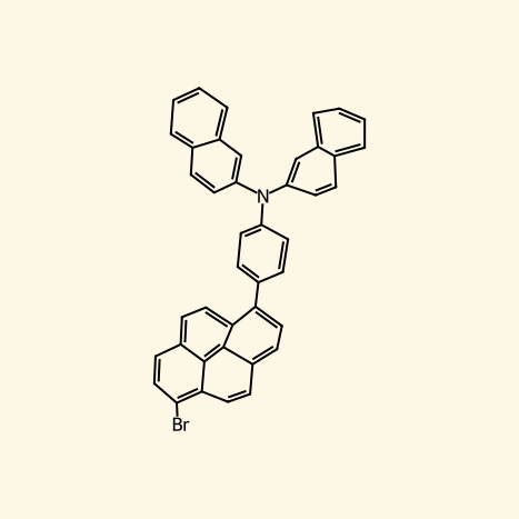 Brc1ccc2ccc3c(-c4ccc(N(c5ccc6ccccc6c5)c5ccc6ccccc6c5)cc4)ccc4ccc1c2c43